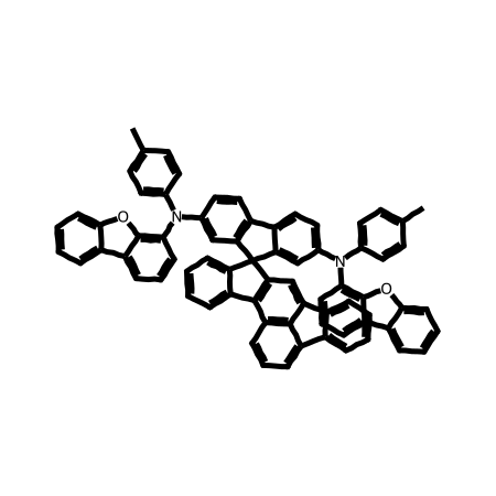 Cc1ccc(N(c2ccc3c(c2)C2(c4cc(N(c5ccc(C)cc5)c5cccc6c5oc5ccccc56)ccc4-3)c3ccccc3-c3c2cc2c4c(cccc34)-c3ccccc3-2)c2cccc3c2oc2ccccc23)cc1